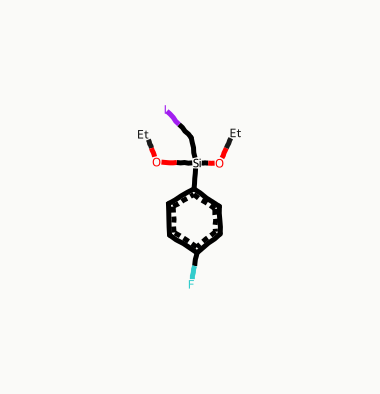 CCO[Si](CI)(OCC)c1ccc(F)cc1